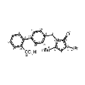 CCCCc1cn(C(C)C)c(=O)n1Cc1ccc(-c2ccccc2C(=O)O)cc1